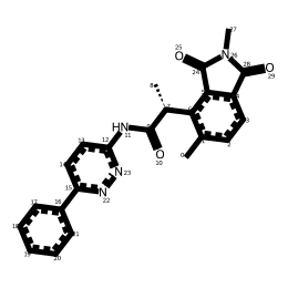 Cc1ccc2c(c1[C@@H](C)C(=O)Nc1ccc(-c3ccccc3)nn1)C(=O)N(C)C2=O